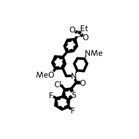 CCS(=O)(=O)c1ccc(-c2ccc(OC)c(CN(C(=O)c3sc4c(F)ccc(F)c4c3Cl)[C@H]3CC[C@H](NC)CC3)c2)cc1